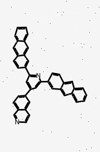 c1ccc2cc3cc(-c4cc(-c5ccc6cnccc6c5)cc(-c5ccc6cc7ccccc7cc6c5)n4)ccc3cc2c1